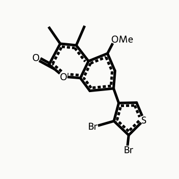 COc1cc(-c2csc(Br)c2Br)cc2oc(=O)c(C)c(C)c12